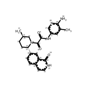 Cc1cc(NC(=O)C(=O)N2C[C@H](C)CC[C@H]2c2ccc3cc[nH]c(=O)c3c2)cnc1N